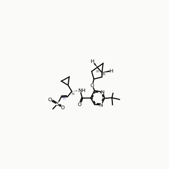 CC(C)(C)c1ncc(C(=O)N[C@H](/C=C/S(C)(=O)=O)C2CC2)c(OC2C[C@@H]3C[C@@H]3C2)n1